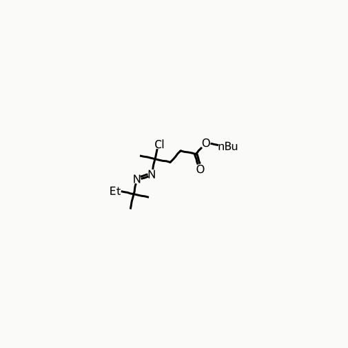 CCCCOC(=O)CCC(C)(Cl)/N=N/C(C)(C)CC